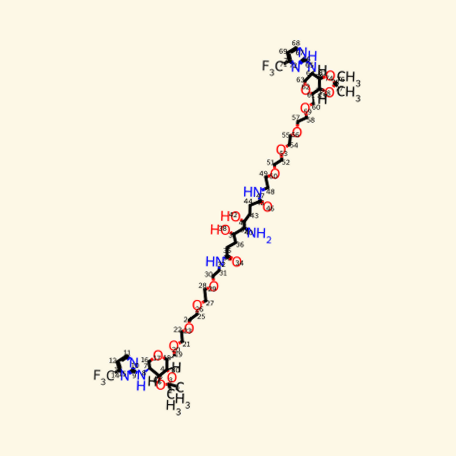 CC1(C)O[C@@H]2[C@H](O1)[C@@H](Nc1nccc(C(F)(F)F)n1)CO[C@@H]2COCCOCCOCCOCCNC(=O)CCC(O)C(N)C(O)CCC(=O)NCCOCCOCCOCCOC[C@H]1OC[C@H](Nc2nccc(C(F)(F)F)n2)[C@H]2OC(C)(C)O[C@H]21